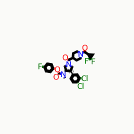 CN(C(=O)Oc1ccc(F)cc1)[C@@H]1CN(C(=O)C2CCN(C(=O)C3CC3(F)F)CC2)C[C@H]1c1ccc(Cl)c(Cl)c1